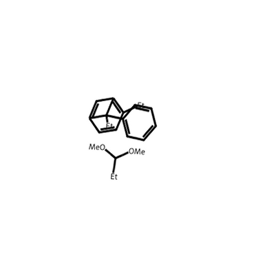 CCC(OC)OC.CCc1ccc2cc1C2(CC)c1ccccc1